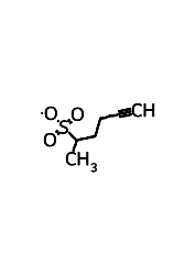 C#CCCC(C)S([O])(=O)=O